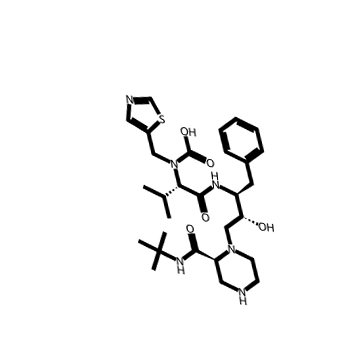 CC(C)[C@@H](C(=O)N[C@@H](Cc1ccccc1)[C@H](O)CN1CCNC[C@H]1C(=O)NC(C)(C)C)N(Cc1cncs1)C(=O)O